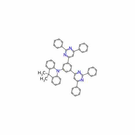 CC1(C)c2ccccc2N(c2cc(-c3cc(-c4ccccc4)nc(-c4ccccc4)n3)cc(-c3cc(-c4ccccc4)nc(-c4ccccc4)n3)c2)c2ccccc21